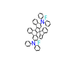 Fc1ccccc1N(c1ccccc1)c1ccc2c3c(c4ccccc4c2c1)-c1c(cc(N(c2ccccc2)c2ccccc2F)c2ccccc12)C31c2ccccc2-c2ccccc21